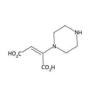 O=C(O)/C=C(\C(=O)O)N1CCNCC1